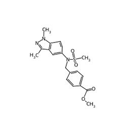 COC(=O)c1ccc(CN(c2ccc3c(c2)c(C)nn3C)S(C)(=O)=O)cc1